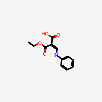 CCOC(=O)C(=CNc1ccccc1)C(=O)O